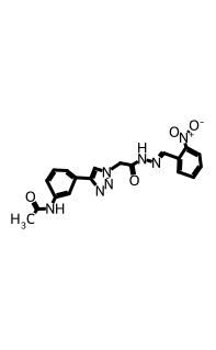 CC(=O)Nc1cccc(-c2cn(CC(=O)NN=Cc3ccccc3[N+](=O)[O-])nn2)c1